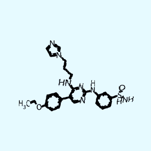 CCOc1ccc(-c2cnc(Nc3cccc([SH](=N)=O)c3)nc2NCCCn2ccnc2)cc1